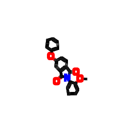 COc1ccccc1N1C(=O)c2ccc(Oc3ccccc3)cc2C1=O